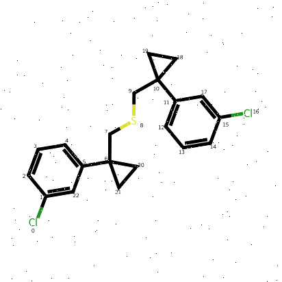 Clc1cccc(C2(CSCC3(c4cccc(Cl)c4)CC3)CC2)c1